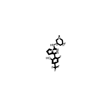 CN1C[C@H](F)C[C@@H](Nc2nnc(-c3c(O)cc(C(F)(F)F)cc3F)c3cccn23)C1